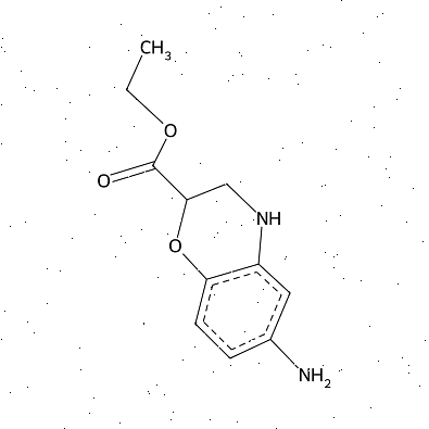 CCOC(=O)C1CNc2cc(N)ccc2O1